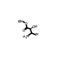 CC(C)C(N)[C@H](O)C(=O)OC(C)(C)C